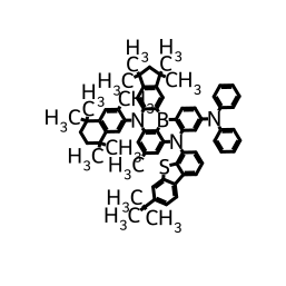 Cc1cc2c3c(c1)N(c1cccc4c1sc1cc(C(C)(C)C)ccc14)c1cc(N(c4ccccc4)c4ccccc4)ccc1B3c1cc3c(cc1N2c1cc2c(cc1C)C(C)(C)CCC2(C)C)C(C)(C)CC3(C)C